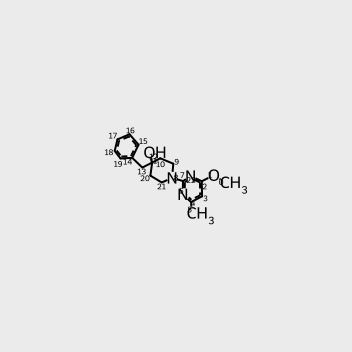 COc1cc(C)nc(N2CCC(O)(Cc3ccccc3)CC2)n1